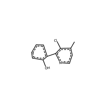 Cc1ccnc(-c2ccccc2O)c1Cl